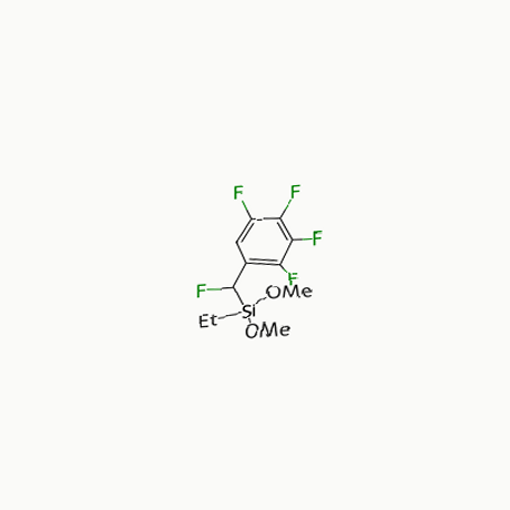 CC[Si](OC)(OC)C(F)c1cc(F)c(F)c(F)c1F